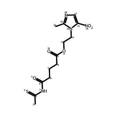 CC(=S)NC(=O)CCCC(=O)OCCn1c([N+](=O)[O-])cnc1C